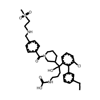 CCc1cccc(-c2c(Cl)cccc2C(O)(CCCNC(=O)O)C2CCCN(C(=O)c3ccc(CNCCS(C)(=O)=O)cc3)C2)c1